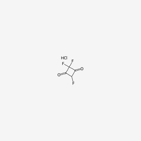 Cl.O=C1C(F)C(=O)C1(F)F